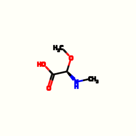 CN[C@H](OC)C(=O)O